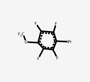 CC(C)c1c(F)c(F)c(OC(F)(F)F)c(F)c1F